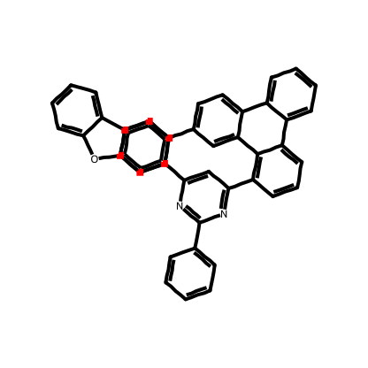 c1ccc(-c2cc(-c3cccc4c5ccccc5c5ccc(-c6ccc7oc8ccccc8c7c6)cc5c34)nc(-c3ccccc3)n2)cc1